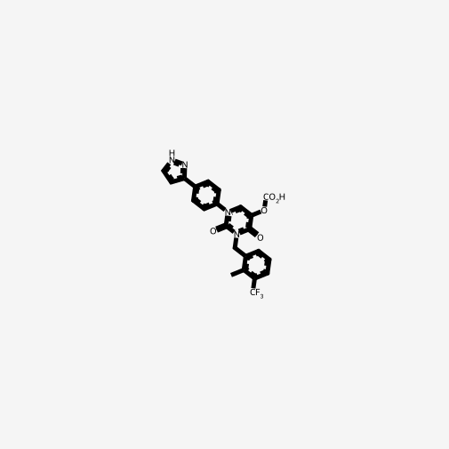 Cc1c(Cn2c(=O)c(OC(=O)O)cn(-c3ccc(-c4cc[nH]n4)cc3)c2=O)cccc1C(F)(F)F